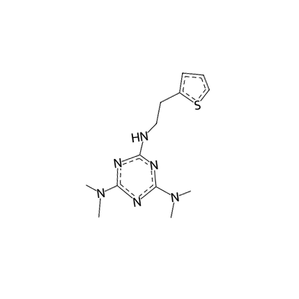 CN(C)c1nc(NCCc2cccs2)nc(N(C)C)n1